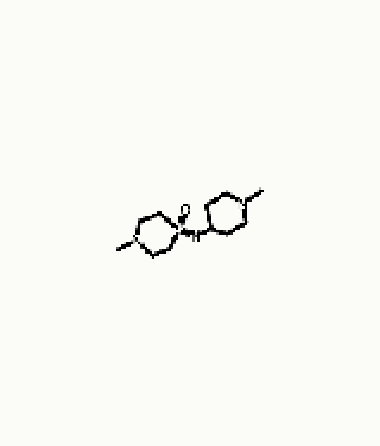 CN1CCC(N=S2(=O)CCN(C)CC2)CC1